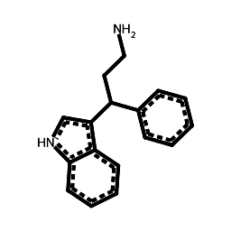 NCCC(c1ccccc1)c1c[nH]c2ccccc12